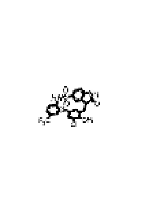 O=C1Nc2ccc(S(=O)(=O)Nc3ccc(C(F)(F)F)cc3)cc2C1=Cc1cc(Cl)cc(Cl)c1O